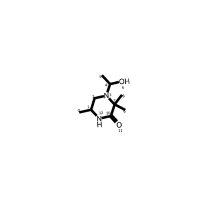 CC1CN(C(C)O)C(C)(C)C(=O)N1